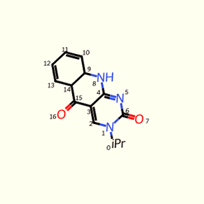 CC(C)n1cc2c(nc1=O)NC1C=CC=CC1C2=O